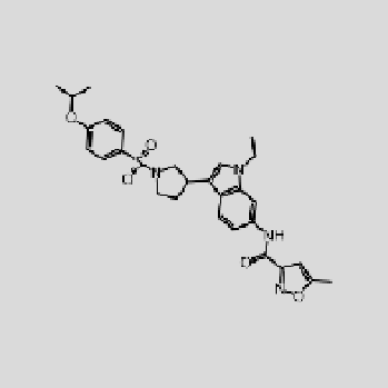 CCn1cc(C2CCN(S(=O)(=O)c3ccc(OC(C)C)cc3)C2)c2ccc(NC(=O)c3cc(C)on3)cc21